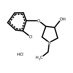 CCN1CC(O)C(Oc2ccccc2Cl)C1.Cl